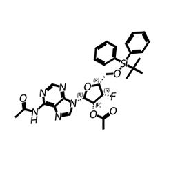 CC(=O)Nc1ncnc2c1ncn2[C@@H]1O[C@H](CO[Si](c2ccccc2)(c2ccccc2)C(C)(C)C)[C@H](F)[C@@H]1OC(C)=O